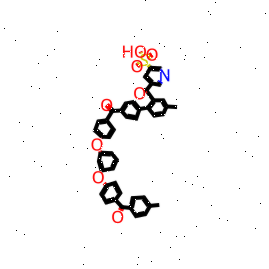 Cc1ccc(C(=O)c2ccc(Oc3cccc(Oc4ccc(C(=O)c5ccc(-c6ccc(C)cc6C(=O)c6cncc(S(=O)(=O)O)c6)cc5)cc4)c3)cc2)cc1